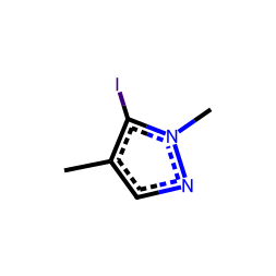 Cc1cnn(C)c1I